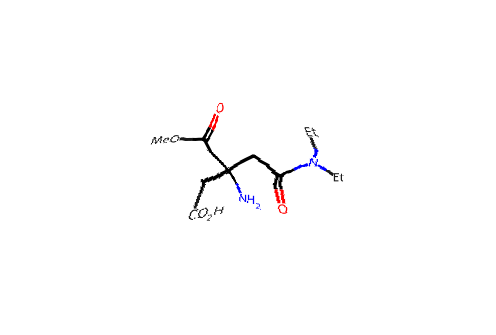 CCN(CC)C(=O)CC(N)(CC(=O)O)C(=O)OC